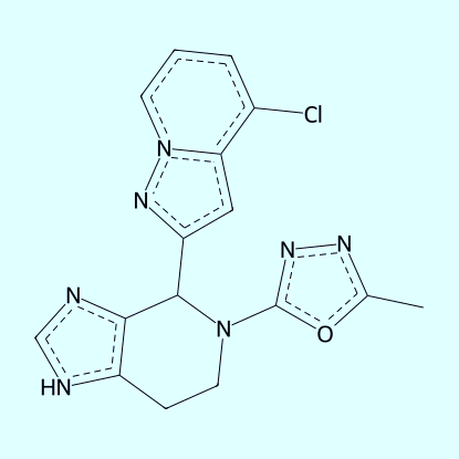 Cc1nnc(N2CCc3[nH]cnc3C2c2cc3c(Cl)cccn3n2)o1